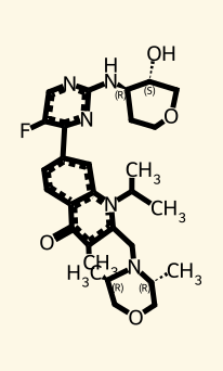 Cc1c(CN2[C@H](C)COC[C@H]2C)n(C(C)C)c2cc(-c3nc(N[C@@H]4CCOC[C@H]4O)ncc3F)ccc2c1=O